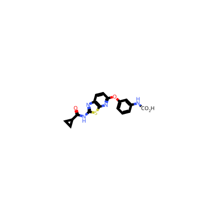 O=C(O)Nc1cccc(Oc2ccc3nc(NC(=O)C4CC4)sc3n2)c1